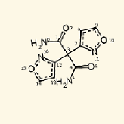 NC(=O)C(C(N)=O)(c1ccon1)c1ccon1